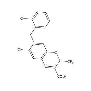 O=C(O)C1=Cc2cc(Cl)c(Cc3ccccc3Cl)cc2OC1C(F)(F)F